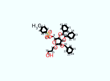 Cc1ccc(S(=O)(=O)OC[C@H]2O[C@@H](OCCCO)[C@H](OCc3ccccc3)[C@@H](OCc3ccccc3)[C@@H]2OCc2ccccc2)cc1